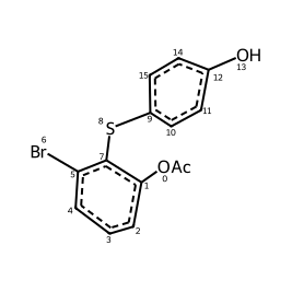 CC(=O)Oc1cccc(Br)c1Sc1ccc(O)cc1